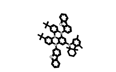 Cc1cc(C)c2c(c1)N(c1cc3c4c(c1)N(c1cccc5c1oc1ccccc15)c1ccc(C(C)(C)C)cc1B4c1cc(C(C)(C)C)ccc1N3c1ccc3c(c1)oc1ccccc13)C1(C)CCCCC21C